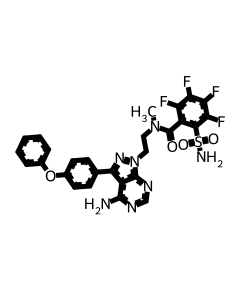 CN(CCn1nc(-c2ccc(Oc3ccccc3)cc2)c2c(N)ncnc21)C(=O)c1c(F)c(F)c(F)c(F)c1S(N)(=O)=O